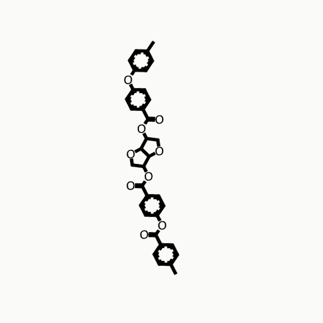 Cc1ccc(Oc2ccc(C(=O)OC3COC4C(OC(=O)c5ccc(OC(=O)c6ccc(C)cc6)cc5)COC34)cc2)cc1